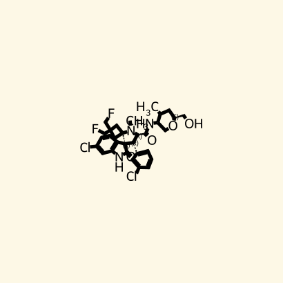 CC1C[C@@H](CO)OCC1NC(=O)[C@H]1[C@H](c2cccc(Cl)c2)[C@]2(C(=O)Nc3cc(Cl)ccc32)C2(CC(CF)(CF)C2)N1C